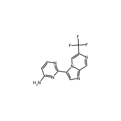 Nc1ccnc(-c2cnc3cnc(C(F)(F)F)cn23)n1